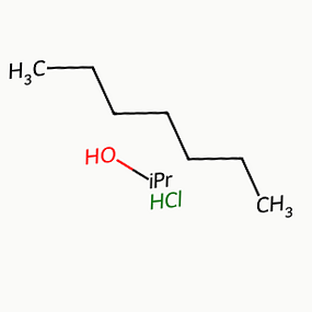 CC(C)O.CCCCCCC.Cl